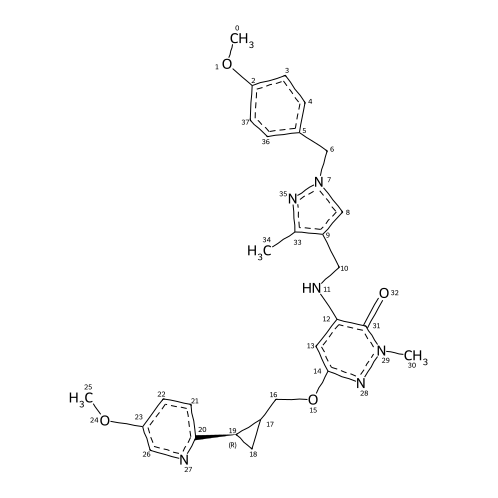 COc1ccc(Cn2cc(CNc3cc(OCC4C[C@H]4c4ccc(OC)cn4)nn(C)c3=O)c(C)n2)cc1